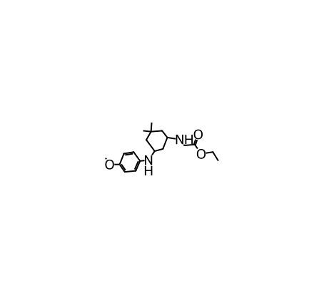 CCOC(=O)CNC1CC(Nc2ccc(OC)cc2)CC(C)(C)C1